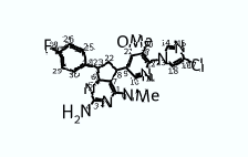 CNc1nc(N)nc2c1C(c1cnc(-n3cnc(Cl)c3)c(OC)c1)CC2c1ccc(F)cc1